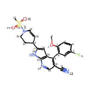 COc1ccc(F)cc1-c1c(C#N)cnc2[nH]c(C3C=CN(S(C)(=O)=O)CC3)cc12